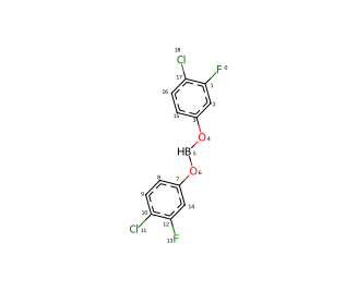 Fc1cc(OBOc2ccc(Cl)c(F)c2)ccc1Cl